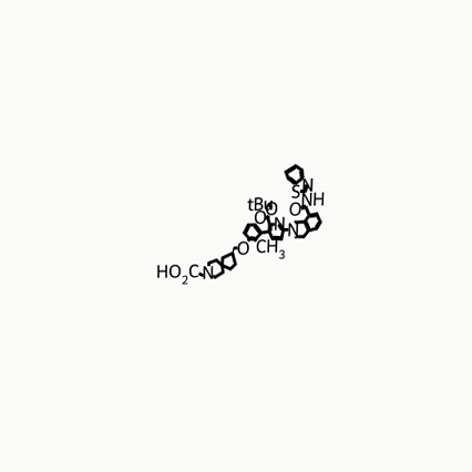 Cc1c(OC[C@H]2CCC3(CCN(CC(=O)O)CC3)C2)cccc1-c1ccc(N2CCc3cccc(C(=O)Nc4nc5ccccc5s4)c3C2)nc1C(=O)OC(C)(C)C